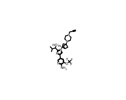 C#CCN1CCN(C23CC(C2)[C@@H](n2cc(-c4cnc(N)c(OC(F)(F)F)c4)nc2C(O)C(C)C)C3)CC1